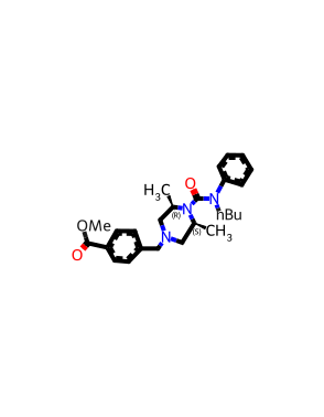 CCCCN(C(=O)N1[C@H](C)CN(Cc2ccc(C(=O)OC)cc2)C[C@@H]1C)c1ccccc1